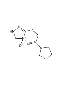 [O-][N+]12CNN=C1C=CC(N1CCCC1)=N2